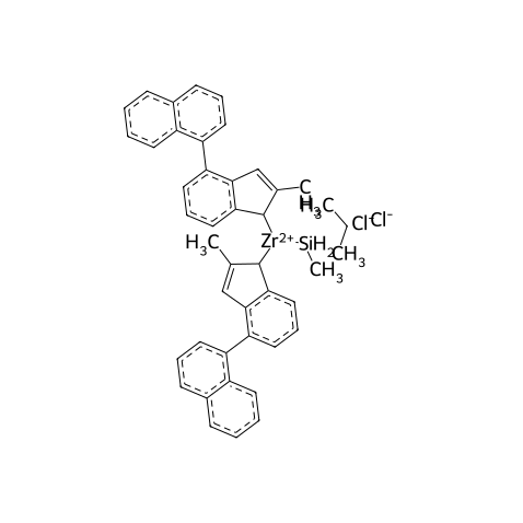 CCC.C[SiH2][Zr+2]([CH]1C(C)=Cc2c(-c3cccc4ccccc34)cccc21)[CH]1C(C)=Cc2c(-c3cccc4ccccc34)cccc21.[Cl-].[Cl-]